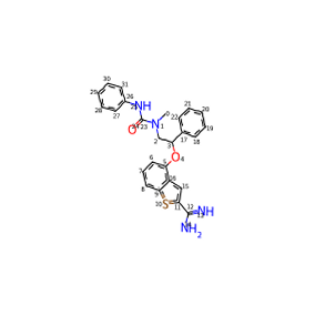 CN(CC(Oc1cccc2sc(C(=N)N)cc12)c1ccccc1)C(=O)Nc1ccccc1